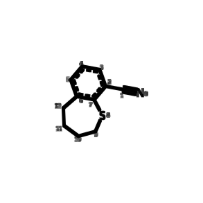 N#Cc1c[c]cc2c1SCCCC2